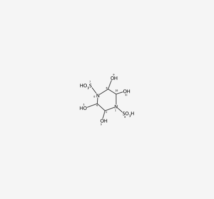 O=S(=O)(O)N1C(O)C(O)N(S(=O)(=O)O)C(O)C1O